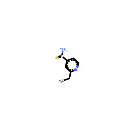 CCc1cc([13C]([15NH2])=[33S])ccn1